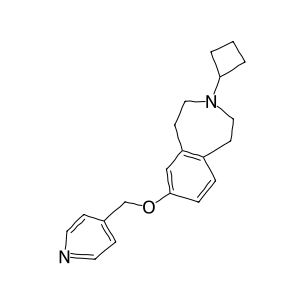 c1cc(COc2ccc3c(c2)CCN(C2CCC2)CC3)ccn1